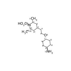 CC1CC(CCO[C@H]2CC[C@H](N)CC2)C[C@H](C)N1C(=O)O